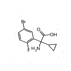 NC(C(=O)O)(c1cc(Br)ccc1F)C1CC1